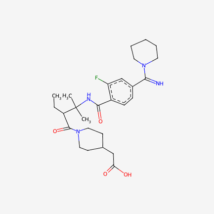 CCC(C(=O)N1CCC(CC(=O)O)CC1)C(C)(C)NC(=O)c1ccc(C(=N)N2CCCCC2)cc1F